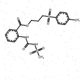 Cc1ccc(S(=O)(=O)CCCOC(=O)c2ccccc2NC(=O)NS(C)(=O)=O)cc1